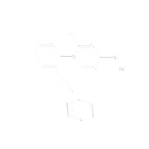 C1=CC2=CC=C1C2.N#Cc1cccnc1-n1cnc(NN)nc1=O